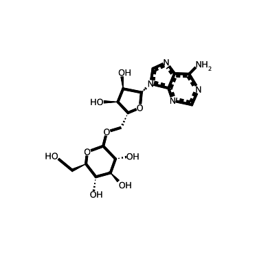 Nc1ncnc2c1ncn2[C@@H]1O[C@H](COC2O[C@H](CO)[C@@H](O)[C@H](O)[C@H]2O)[C@@H](O)[C@H]1O